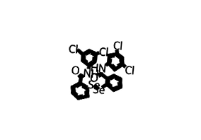 O=C(Nc1cc(Cl)cc(Cl)c1)c1ccccc1[Se][Se]c1ccccc1C(=O)Nc1cc(Cl)cc(Cl)c1